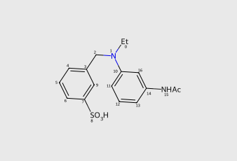 CCN(Cc1cccc(S(=O)(=O)O)c1)c1cccc(NC(C)=O)c1